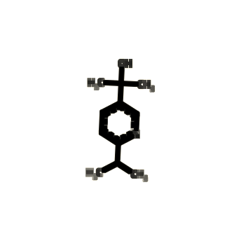 CC(C)c1ccc(C(C)(C)O)cn1